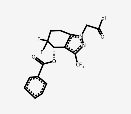 CCC(=O)Cn1nc(C(F)(F)F)c2c1CCC(F)(F)[C@H]2OC(=O)c1ccccc1